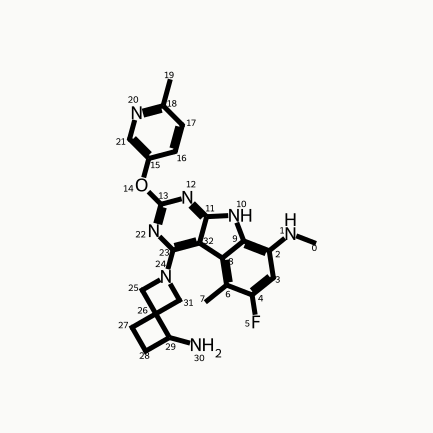 CNc1cc(F)c(C)c2c1[nH]c1nc(Oc3ccc(C)nc3)nc(N3CC4(CCC4N)C3)c12